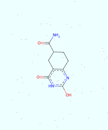 NC(=O)C1CCc2nc(O)[nH]c(=O)c2C1